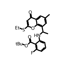 CCSc1cc(=O)c2cc(C)cc(C(C)Nc3cccc(F)c3C(=O)OC(C)(C)C)c2o1